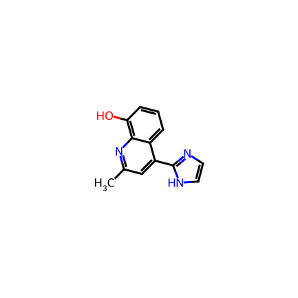 Cc1cc(-c2ncc[nH]2)c2cccc(O)c2n1